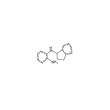 Nc1ccccc1NC1CCc2ccccc21